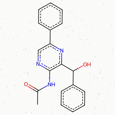 CC(=O)Nc1ncc(-c2ccccc2)nc1C(O)c1ccccc1